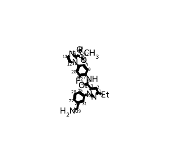 CCc1cc(C(=O)Nc2ccc(-n3ccnc3S(C)(=O)=O)cc2F)n(-c2cccc(CN)c2)n1